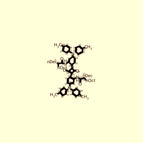 CCCCCCCCCCC(CCCCCCCC)C(=O)NC1=CC(=[N+](c2ccc(C)cc2)c2ccc(C)cc2)C=C/C1=C1\C(=O)C(c2ccc(N(c3ccc(C)cc3)c3ccc(C)cc3)cc2NC(=O)C(CCCCCCCC)CCCCCCCCCC)=C1[O-]